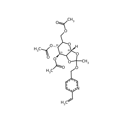 C=Cc1ccc(COC2(C)OC3[C@H](OC(COC(C)=O)[C@@H](OC(C)=O)[C@@H]3OC(C)=O)O2)cn1